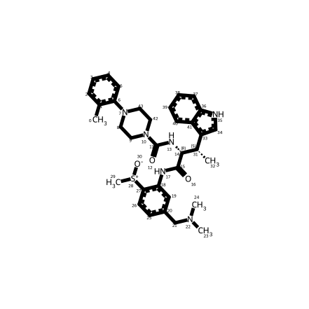 Cc1ccccc1N1CCN(C(=O)N[C@@H](C(=O)Nc2cc(CN(C)C)ccc2[S+](C)[O-])[C@@H](C)c2c[nH]c3ccccc23)CC1